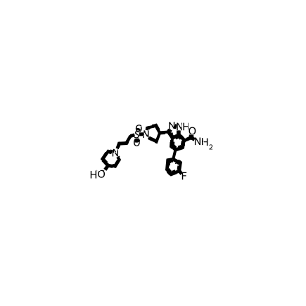 NC(=O)c1cc(-c2cccc(F)c2)cc2c(C3CCN(S(=O)(=O)CCCN4CCC(O)CC4)CC3)n[nH]c12